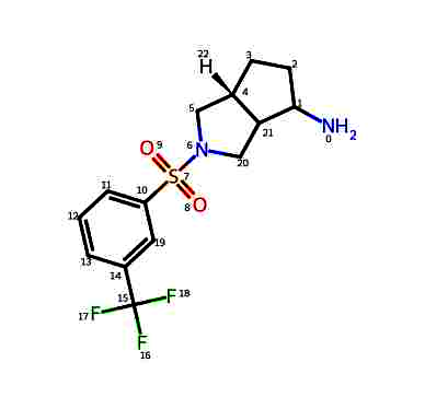 NC1CC[C@H]2CN(S(=O)(=O)c3cccc(C(F)(F)F)c3)CC12